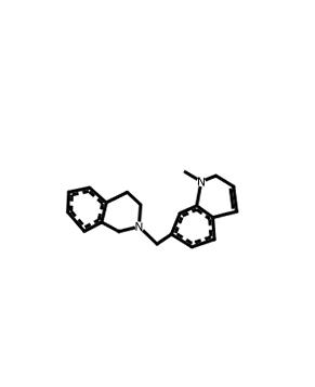 CN1CC=Cc2ccc(CN3CCc4ccccc4C3)cc21